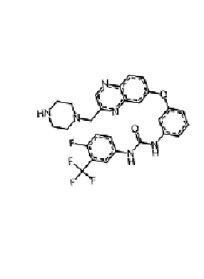 O=C(Nc1cccc(Oc2ccc3ncc(CN4CCNCC4)nc3c2)c1)Nc1ccc(F)c(C(F)(F)F)c1